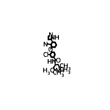 CC1(C)CC(NC(=O)c2ccc(Oc3cccc(-c4ccn[nH]4)c3C#N)c(Cl)c2)CC(C)(C)N1